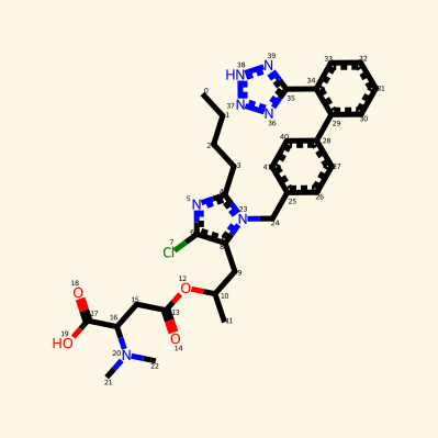 CCCCc1nc(Cl)c(CC(C)OC(=O)CC(C(=O)O)N(C)C)n1Cc1ccc(-c2ccccc2-c2nn[nH]n2)cc1